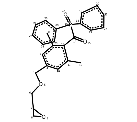 Cc1cc(COCC2CO2)cc(C)c1C(=O)P(=O)(c1ccccc1)c1ccccc1